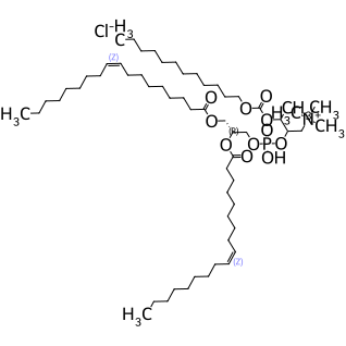 CCCCCCCC/C=C\CCCCCCCC(=O)OC[C@H](COP(=O)(O)OC(C[N+](C)(C)C)C(C)OC(=O)OCCCCCCCCCCCC)OC(=O)CCCCCCC/C=C\CCCCCCCC.[Cl-]